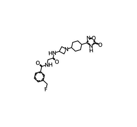 O=C(CNC(=O)c1cccc(CF)c1)NC1CN(C2CCC(c3noc(=O)[nH]3)CC2)C1